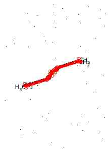 C=C(C)C(=O)OCCCCCCCCCCCCCCCCCCOc1ccc(C(=O)Oc2cc(F)c(OC(=O)c3ccc(OCCCCCCCCCCCCCCCCCCOC(=O)C(=C)C)cc3)cc2F)cc1